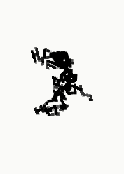 C#C/C=C(\C=C=CCC)NC(=C)C1CCc2cc(-c3c(F)ccc(C)c3F)c[n+](CC)c21